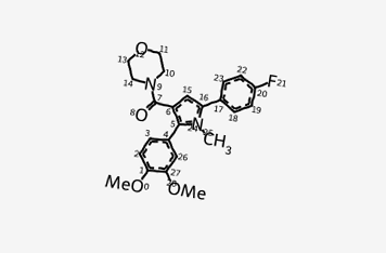 COc1ccc(-c2c(C(=O)N3CCOCC3)cc(-c3ccc(F)cc3)n2C)cc1OC